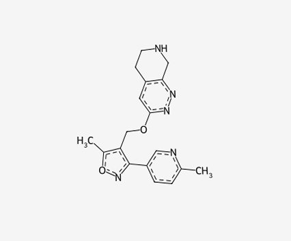 Cc1ccc(-c2noc(C)c2COc2cc3c(nn2)CNCC3)cn1